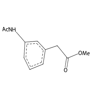 COC(=O)Cc1cccc(NC(C)=O)c1